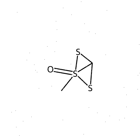 CS12(=O)SC1S2